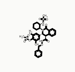 Cc1cc([C@H]2[C@H](C(=O)NOCc3ccccc3)c3ccccc3C(=O)N2[C@H]2CCCC[C@@H]2NS(C)(=O)=O)cc(C)c1OS(C)(=O)=O